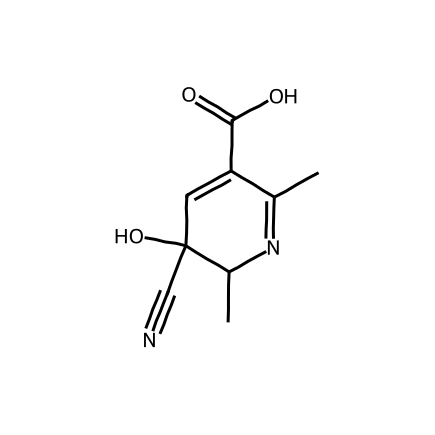 CC1=NC(C)C(O)(C#N)C=C1C(=O)O